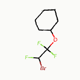 FC(Br)C(F)(F)OC1CC[CH]CC1